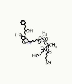 C#CCCCC(=O)OCC(C)(COC(=O)CCCC#C)COC(=O)OC(C)OC(=O)CCC/C=C\C[C@@H]1[C@@H](CCC(O)CCc2ccccc2)[C@H](O)C[C@@H]1O